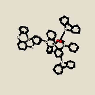 c1ccc(N2c3cc(-n4c5ccccc5c5ccccc54)ccc3[Si]3(c4ccccc4N(c4ccc5c(c4)Sc4cccc6c4B5c4ccccc4O6)c4ccccc43)c3ccc(-n4c5ccccc5c5ccccc54)cc32)cc1